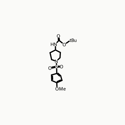 COc1ccc(S(=O)(=O)N2CCC(NC(=O)OC(C)(C)C)CC2)cc1